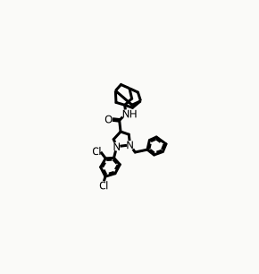 O=C(NC12CC3CC(CC(C3)C1)C2)C1CN(Cc2ccccc2)N(c2ccc(Cl)cc2Cl)C1